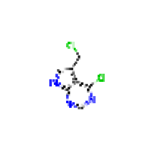 ClCc1c[nH]c2ncnc(Cl)c12